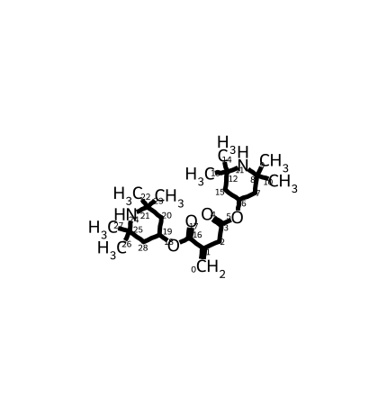 C=C(CC(=O)OC1CC(C)(C)NC(C)(C)C1)C(=O)OC1CC(C)(C)NC(C)(C)C1